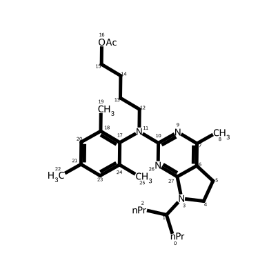 CCCC(CCC)N1CCc2c(C)nc(N(CCCCOC(C)=O)c3c(C)cc(C)cc3C)nc21